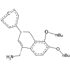 CCCCOc1ccc2c(c1OCCCC)CC(c1ccccc1)C=C2CN